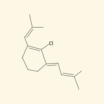 CC(C)=C/C=C1\CCCC(C=C(C)C)=C1Cl